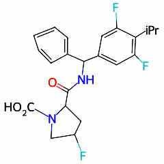 CC(C)c1c(F)cc(C(NC(=O)C2CC(F)CN2C(=O)O)c2ccccc2)cc1F